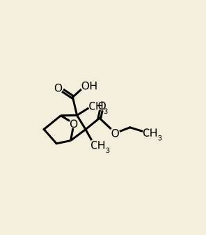 CCOC(=O)C1(C)C2CCC(O2)C1(C)C(=O)O